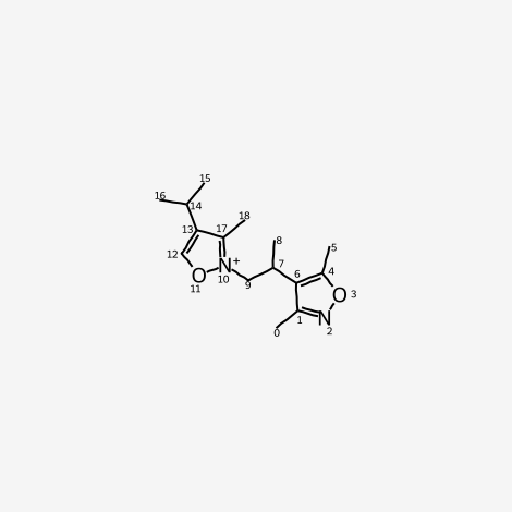 Cc1noc(C)c1C(C)C[n+]1occ(C(C)C)c1C